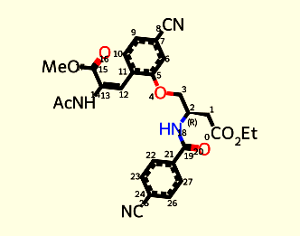 CCOC(=O)C[C@H](COc1cc(C#N)ccc1C=C(NC(C)=O)C(=O)OC)NC(=O)c1ccc(C#N)cc1